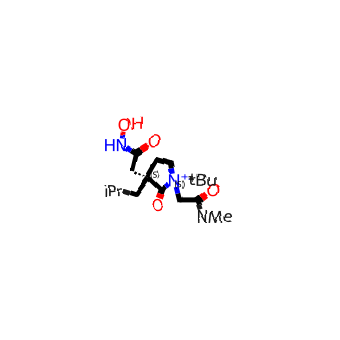 CNC(=O)C[N@+]1(C(C)(C)C)CC[C@](CC(=O)NO)(CC(C)C)C1=O